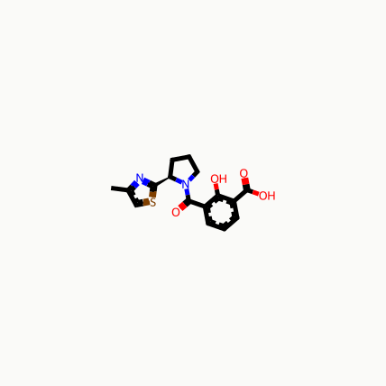 Cc1csc([C@H]2CCCN2C(=O)c2cccc(C(=O)O)c2O)n1